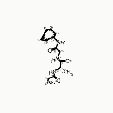 C[C@H](NC(=O)CC(C)(C)C)C(=O)NCC(=O)Nc1ccccc1